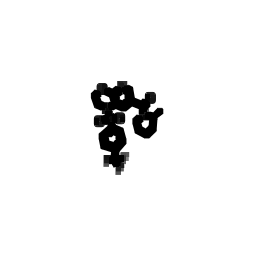 C[C@H]1CCCCN1C(=O)c1cnc2c(c1)N(S(=O)(=O)c1ccc(C(F)(F)F)cc1)CCO2